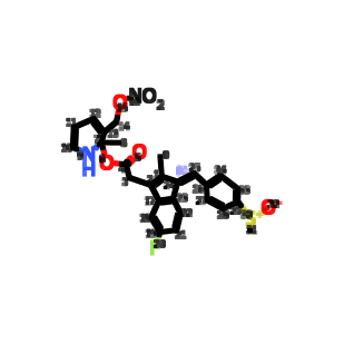 CC1=C(CC(=O)OC2(C)NC=CC=C2CO[N+](=O)[O-])c2cc(F)ccc2/C1=C\c1ccc([S+](C)[O-])cc1